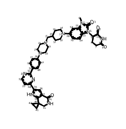 Cn1c(=O)n(C2CCC(=O)NC2=O)c2ccc(N3CCC(CN4CCN(c5ccc(-c6nccc(-c7cc8c([nH]7)C7(CC7)CNC8=O)n6)cc5)CC4)CC3)cc21